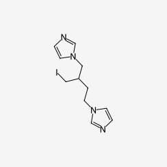 ICC(CCn1ccnc1)Cn1ccnc1